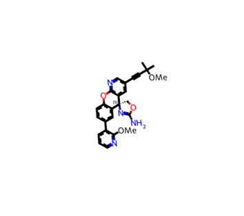 COc1ncccc1-c1ccc2c(c1)[C@@]1(COC(N)=N1)c1cc(C#CC(C)(C)OC)cnc1O2